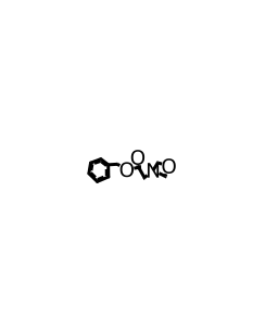 O=C(CN1COC1)OCc1ccccc1